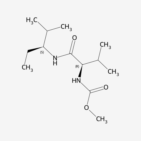 CC[C@H](NC(=O)[C@H](NC(=O)OC)C(C)C)C(C)C